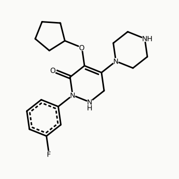 O=C1C(OC2CCCC2)=C(N2CCNCC2)CNN1c1cccc(F)c1